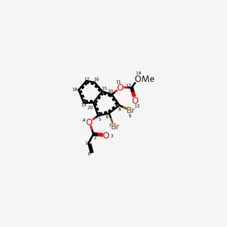 C=CC(=O)Oc1c(Br)c(Br)c(OC(=O)OC)c2ccccc12